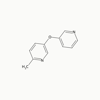 Cc1ccc(Oc2cccnc2)cn1